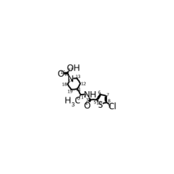 C[C@H](NC(=O)c1ccc(Cl)s1)C1CCN(C(=O)O)CC1